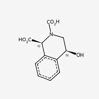 O=C(O)[C@@H]1c2ccccc2[C@H](O)CN1C(=O)O